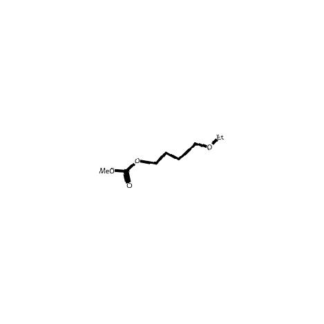 CCOCCCCOC(=O)OC